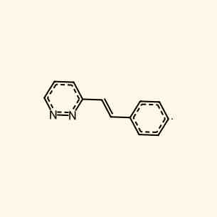 [c]1ccc(C=Cc2cccnn2)cc1